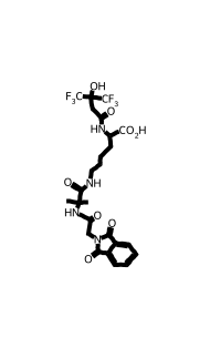 CC(C)(NC(=O)CN1C(=O)c2ccccc2C1=O)C(=O)NCCCCC(NC(=O)CC(O)(C(F)(F)F)C(F)(F)F)C(=O)O